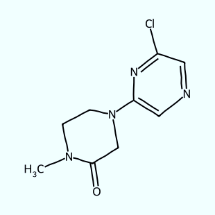 CN1CCN(c2cncc(Cl)n2)CC1=O